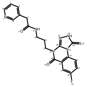 O=C(Cc1cccnc1)NCCCn1c(=O)c2cc(F)ccc2n2c(=S)[nH]nc12